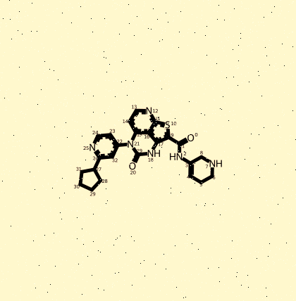 O=C(NC1=CCCNC1)c1sc2nccc3c2c1NC(=O)N3c1ccnc(C2CCCC2)c1